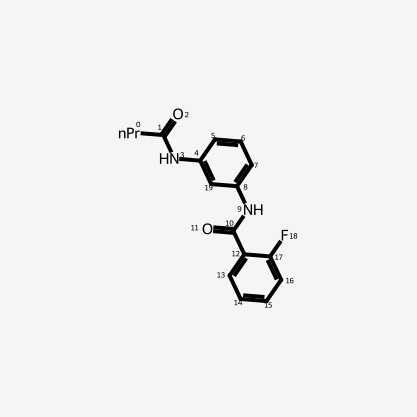 CCCC(=O)Nc1cccc(NC(=O)c2ccccc2F)c1